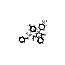 CN(Cc1ccccc1)NC(=O)[C@@H]1c2ccccc2C(=O)N([C@H]2CC[C@H](O)CC2)[C@H]1c1ccc(Cl)cc1